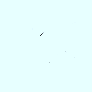 C=C(C)[C@@H]1CCC(C)=C[C@H]1c1c(O)cc(CCCCC)cc1OP(=S)(NCCBr)N(C)C